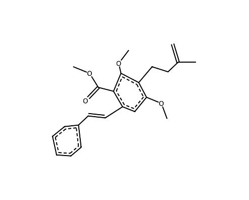 C=C(C)CCc1c(OC)cc(C=Cc2ccccc2)c(C(=O)OC)c1OC